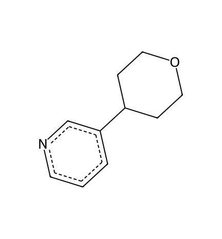 c1cncc(C2CCOCC2)c1